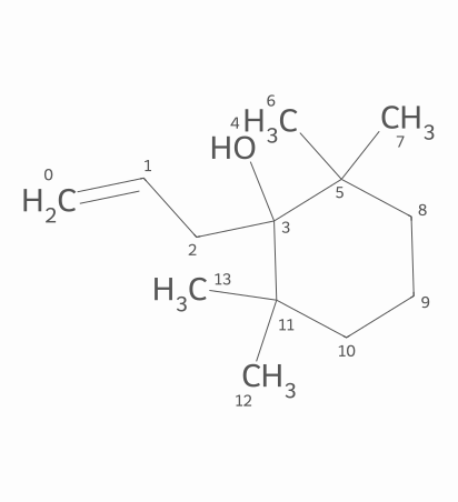 C=CCC1(O)C(C)(C)CCCC1(C)C